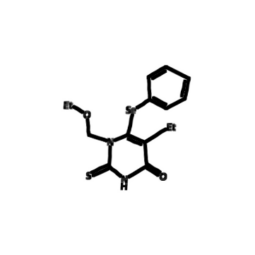 CCOCn1c([Se]c2ccccc2)c(CC)c(=O)[nH]c1=S